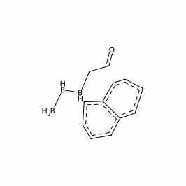 BBBCC=O.c1ccc2ccccc2c1